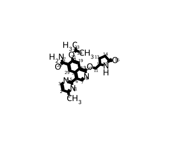 Cc1ccnc(-c2cnc(OCC3CCC(=O)N3)c3cc(OC(C)C)c(C(N)=O)cc23)n1